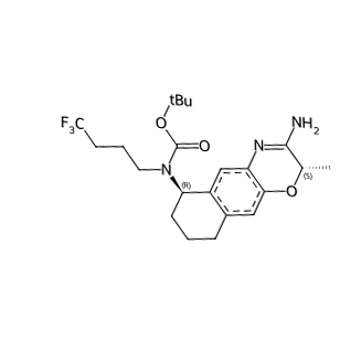 C[C@@H]1Oc2cc3c(cc2N=C1N)[C@H](N(CCCC(F)(F)F)C(=O)OC(C)(C)C)CCC3